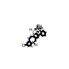 CC(=O)N1Cc2cc(-c3ccccc3S(=O)(=O)N(C)C)cnc2/C=C\c2cc(Cl)ccc21